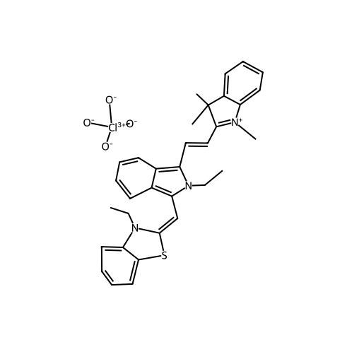 CCN1C(=Cc2c3ccccc3c(C=CC3=[N+](C)c4ccccc4C3(C)C)n2CC)Sc2ccccc21.[O-][Cl+3]([O-])([O-])[O-]